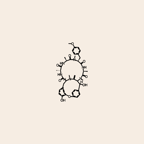 C=C1C2[C@@H](O)c3ccc(cc3)Oc3cc(ccc3O)C[C@@H](C(=O)N[C@H](C)C(=O)N[C@@H](C)C(=O)N(C)[C@@H](Cc3ccc(OC)cc3)C(=O)N[C@@H](C)C(=O)N2C)N1C